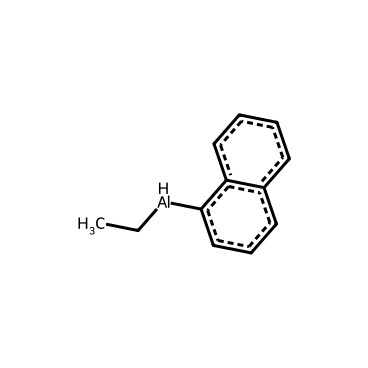 C[CH2][AlH][c]1cccc2ccccc12